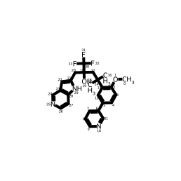 COc1ccc(-c2cccnc2)cc1C(C)(C)CC(O)(Cc1cc2cnccc2[nH]1)C(F)(F)F